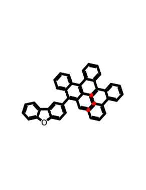 c1ccc(-c2cc3ccccc3c3ccccc23)c(-c2c3ccccc3c(-c3ccc4oc5ccccc5c4c3)c3ccccc23)c1